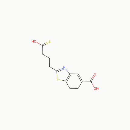 O=C(O)c1ccc2sc(CCCC(O)=S)nc2c1